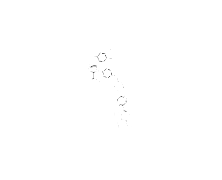 CCNC(=O)c1nnc(-c2cc(C(C)C)c(O)cc2O)n1-c1ccc(OC2CCN(c3cnc(C(=O)NC4CC(O)OC(C)C4O)cn3)CC2)cc1